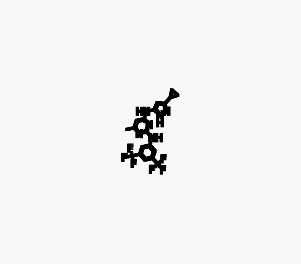 Cc1cc(Nc2cc(C3CC3)n[nH]2)nc(Nc2cc(C(F)(F)F)cc(C(F)(F)F)c2)n1